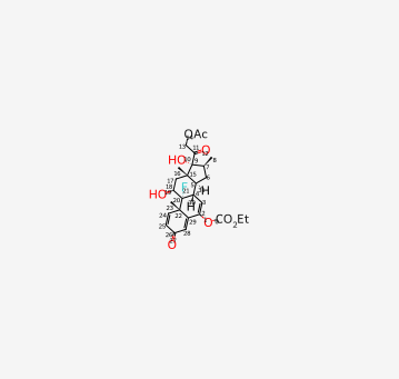 CCOC(=O)OC1=C[C@H]2[C@@H]3C[C@H](C)[C@](O)(C(=O)COC(C)=O)[C@@]3(C)C[C@H](O)[C@]2(F)[C@@]2(C)C=CC(=O)C=C12